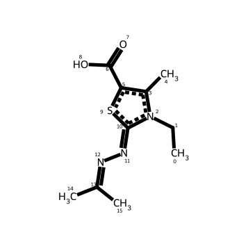 CCn1c(C)c(C(=O)O)sc1=NN=C(C)C